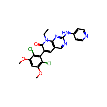 CCn1c(=O)c(-c2c(Cl)c(OC)cc(OC)c2Cl)cc2cnc(Nc3ccncc3)nc21